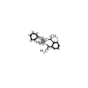 CC(C)c1ccccc1C(C)C.[SiH3]Oc1ccccc1